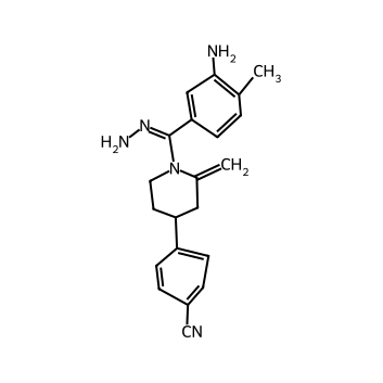 C=C1CC(c2ccc(C#N)cc2)CCN1/C(=N\N)c1ccc(C)c(N)c1